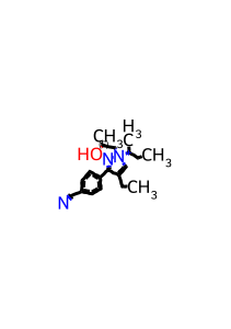 CCC1=C[N+](C[C@H](C)O)(C(C)CC)N=C1c1ccc(C#N)cc1